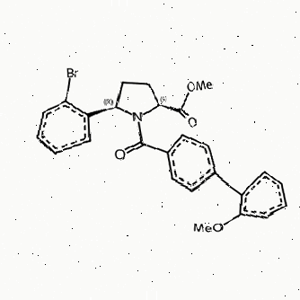 COC(=O)[C@@H]1CC[C@H](c2ccccc2Br)N1C(=O)c1ccc(-c2ccccc2OC)cc1